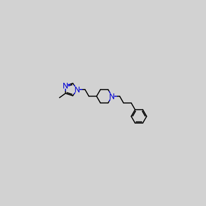 Cc1cn(CCC2CCN(CCCc3ccccc3)CC2)cn1